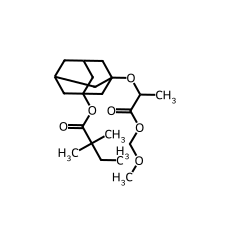 CCC(C)(C)C(=O)OC12CC3CC(C1)CC(OC(C)C(=O)OCOC)(C3)C2